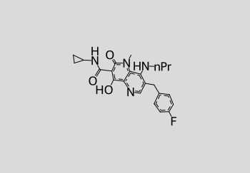 CCCNc1c(Cc2ccc(F)cc2)cnc2c(O)c(C(=O)NC3CC3)c(=O)n(C)c12